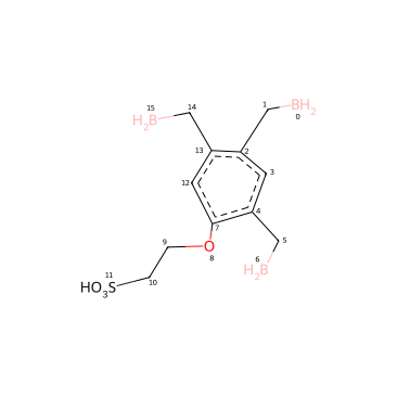 BCc1cc(CB)c(OCCS(=O)(=O)O)cc1CB